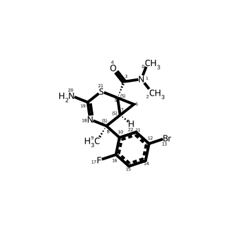 CN(C)C(=O)[C@]12C[C@H]1[C@@](C)(c1cc(Br)ccc1F)N=C(N)S2